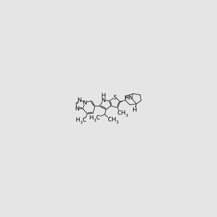 Cc1c([C@H]2CC3CC[C@H](C2)N3)sc2[nH]c(-c3cc(C)c4ncnn4c3)c(C(C)C)c12